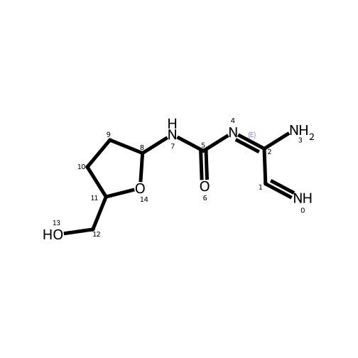 N=C/C(N)=N\C(=O)NC1CCC(CO)O1